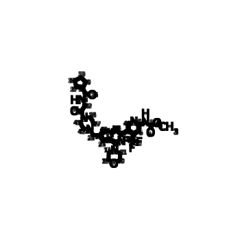 COC(=O)Nc1cc(C(F)(F)F)c(-c2nc(N3CCOCC3)c3cc(CN4CCN(C(=O)CNC(=O)C5=CCCC5)CC4)cn3n2)cn1